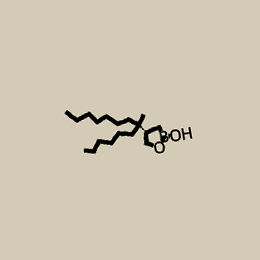 CCCCCCCC(C)(CCCCCC)[C@H]1COB(O)C1